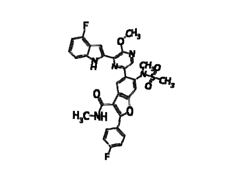 CNC(=O)c1c(-c2ccc(F)cc2)oc2cc(N(C)S(C)(=O)=O)c(-c3cnc(OC)c(-c4cc5c(F)cccc5[nH]4)n3)cc12